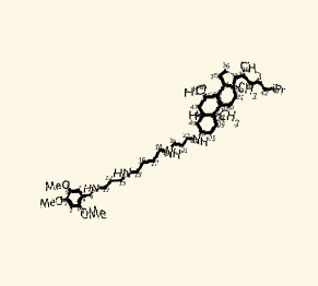 COc1cc(OC)c(OC)cc1CNCCCNCCCCNCCCN[C@H]1CC[C@]2(C)C3CC[C@@]4(C)C(CC[C@@H]4[C@H](C)CCCC(C)C)C3[C@H](O)C[C@@H]2C1